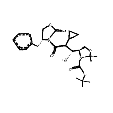 CC(C)(C)OC(=O)N1[C@@H]([C@H](O)C(C(=O)N2C(=O)OC[C@H]2Cc2ccccc2)C2CC2)COC1(C)C